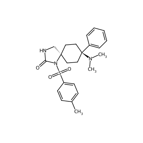 Cc1ccc(S(=O)(=O)N2C(=O)NC[C@]23CC[C@](c2ccccc2)(N(C)C)CC3)cc1